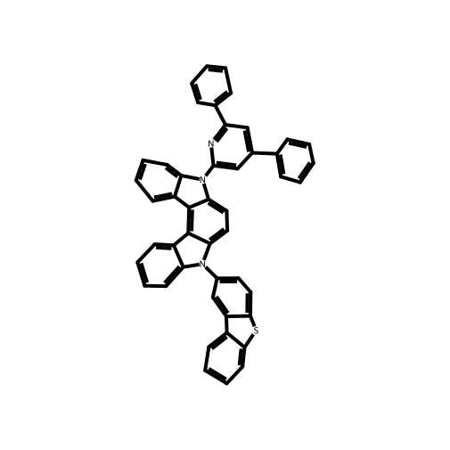 c1ccc(-c2cc(-c3ccccc3)nc(-n3c4ccccc4c4c5c6ccccc6n(-c6ccc7sc8ccccc8c7c6)c5ccc43)c2)cc1